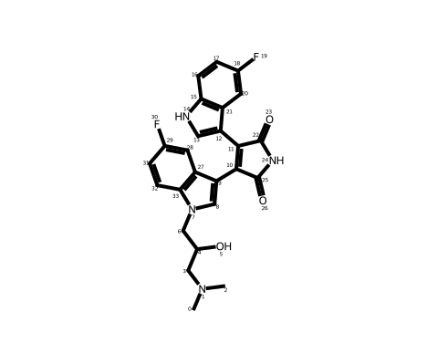 CN(C)CC(O)Cn1cc(C2=C(c3c[nH]c4ccc(F)cc34)C(=O)NC2=O)c2cc(F)ccc21